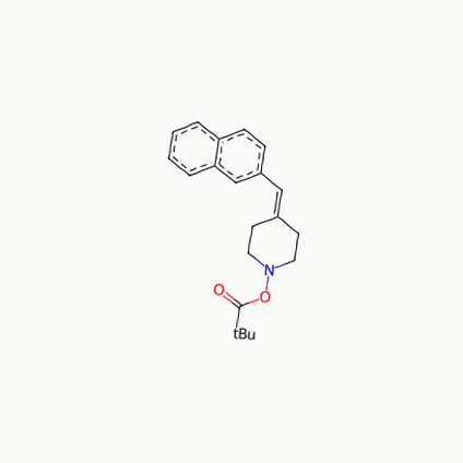 CC(C)(C)C(=O)ON1CCC(=Cc2ccc3ccccc3c2)CC1